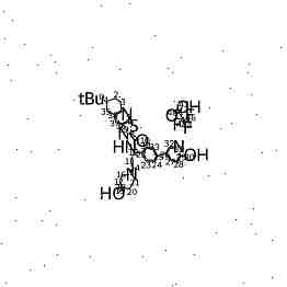 CC(C)(C)[C@H]1CCc2nc3sc(C(=O)N[C@H](CCN4CCC(O)CC4)c4ccc(-c5ccc(O)nc5)cc4)nc3cc2C1.O=C(O)C(F)(F)F